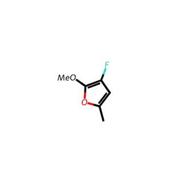 COc1oc(C)cc1F